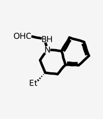 CC[C@H]1Cc2ccccc2N(BC=O)C1